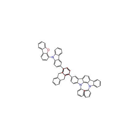 c1ccc(-n2c3ccccc3c3ccc4c5cc(-c6ccc(-c7ccc8c(c7)c7ccccc7n8-c7cccc8c7oc7ccccc78)c7c6C6c8ccccc8C7c7ccccc76)ccc5n(-c5ccccc5)c4c32)cc1